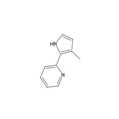 Cc1cc[nH]c1-c1ccccn1